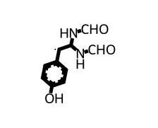 O=CNC([CH]c1ccc(O)cc1)NC=O